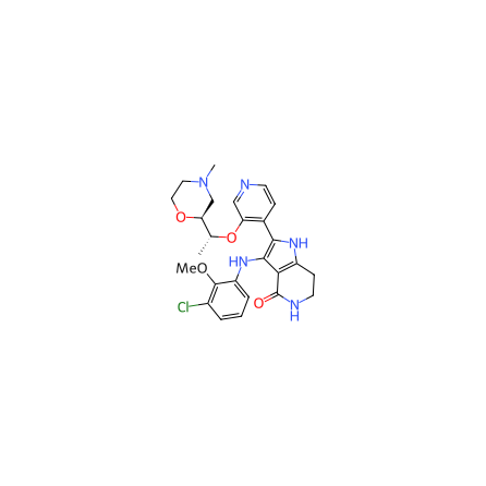 COc1c(Cl)cccc1Nc1c(-c2ccncc2O[C@H](C)[C@@H]2CN(C)CCO2)[nH]c2c1C(=O)NCC2